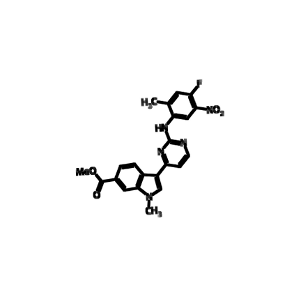 COC(=O)c1ccc2c(-c3ccnc(Nc4cc([N+](=O)[O-])c(F)cc4C)n3)cn(C)c2c1